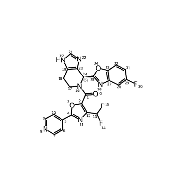 O=C(c1oc(-c2ccncc2)nc1C(F)F)N1CCc2[nH]cnc2[C@H]1c1nc2cc(F)ccc2o1